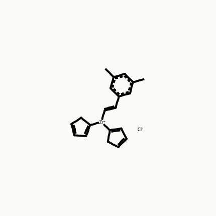 Cc1cc(C)cc(/C=[CH]/[Zr+]([C]2=CC=CC2)[C]2=CC=CC2)c1.[Cl-]